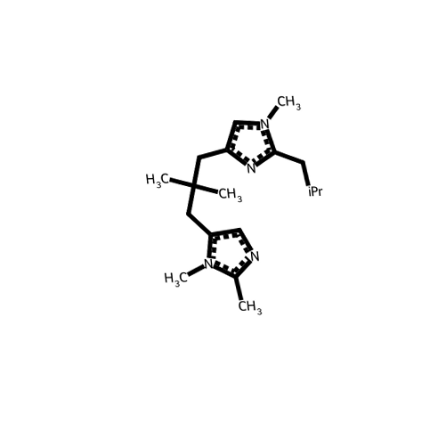 Cc1ncc(CC(C)(C)Cc2cn(C)c(CC(C)C)n2)n1C